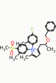 CC1=CC=C(C[C@H](C)OCc2ccccc2)[N+]1(c1ccc(S(C)(=O)=O)c(C)c1)c1ccc(F)cc1C